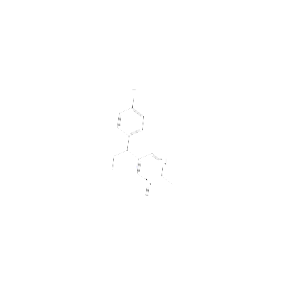 C=N/C=C(\C=N/CC)C(CC)c1ccc(F)cc1